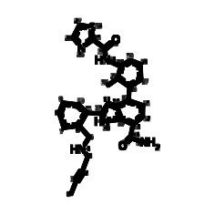 CC#CCNCc1ccccc1-c1cc2c(-c3cccc(NC(=O)c4nccs4)c3C)ccc(C(N)=O)c2[nH]1